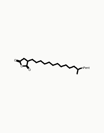 CCCCCC(C)CCCCCCCCCCCC1CC(=O)OC1=O